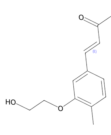 CC(=O)/C=C/c1ccc(C)c(OCCO)c1